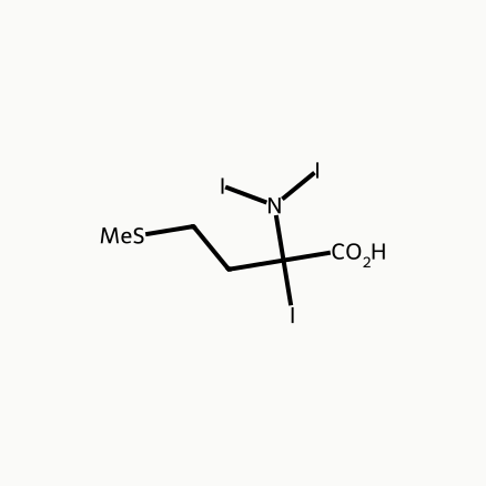 CSCCC(I)(C(=O)O)N(I)I